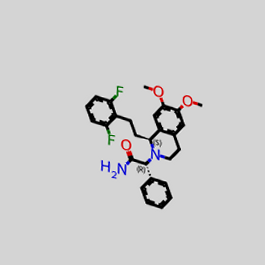 COc1cc2c(cc1OC)[C@H](CCc1c(F)cccc1F)N([C@@H](C(N)=O)c1ccccc1)CC2